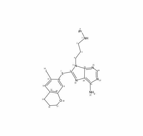 CC(C)NCCCn1c(Sc2cc3c(cc2I)CCCO3)nc2c(N)ncnc21